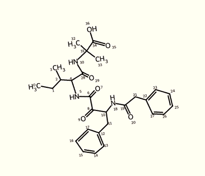 CCC(C)C(NC(=O)C(=O)C(Cc1ccccc1)NC(=O)Cc1ccccc1)C(=O)NC(C)(C)C(=O)O